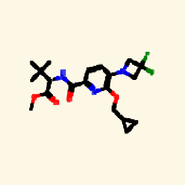 COC(=O)[C@@H](NC(=O)c1ccc(N2CC(F)(F)C2)c(OCC2CC2)n1)C(C)(C)C